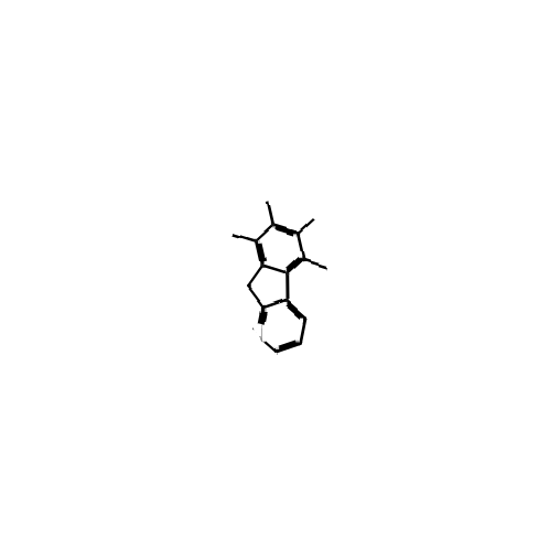 Cc1c(C)c(C)c2c(c1C)Cc1ncccc1-2